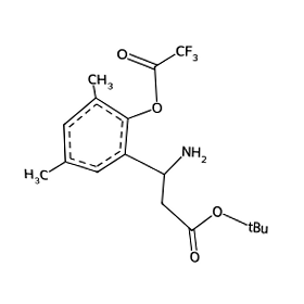 Cc1cc(C)c(OC(=O)C(F)(F)F)c(C(N)CC(=O)OC(C)(C)C)c1